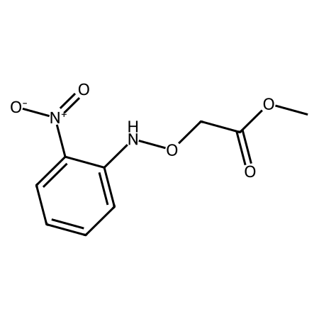 COC(=O)CONc1ccccc1[N+](=O)[O-]